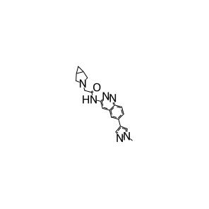 Cn1cc(-c2ccc3nnc(NC(=O)CN4CC5CC5C4)cc3c2)cn1